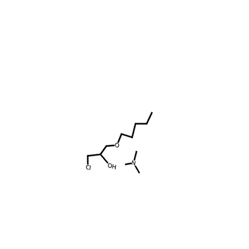 CCCCCOCC(O)CCl.CN(C)C